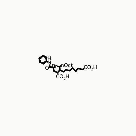 CCCCCCCCC(Br)C(CCCCCCCC(=O)O)C(CCC(=O)Nc1ccccc1)C(=O)O